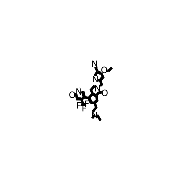 CCOc1cc(CN2CCc3c(cc(CCN(C)CC)cc3-c3cn(C)c(=O)cc3C(F)(F)F)C2=O)ncc1C#N